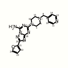 Nc1nc(N2CCN(Cc3ccncc3)CC2)nc2nc(-c3ccco3)nn12